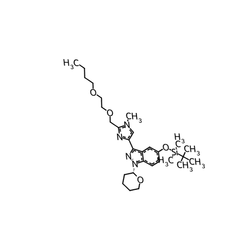 CCCCOCCOCc1nc(-c2nn([C@H]3CCCCO3)c3ccc(O[Si](C)(C)C(C)(C)C)cc23)cn1C